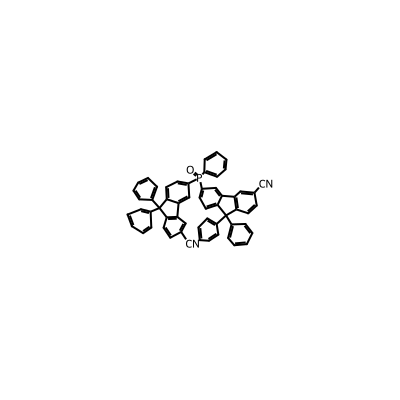 N#Cc1ccc2c(c1)-c1cc(P(=O)(c3ccccc3)c3ccc4c(c3)-c3cc(C#N)ccc3C4(c3ccccc3)c3ccccc3)ccc1C2(c1ccccc1)c1ccccc1